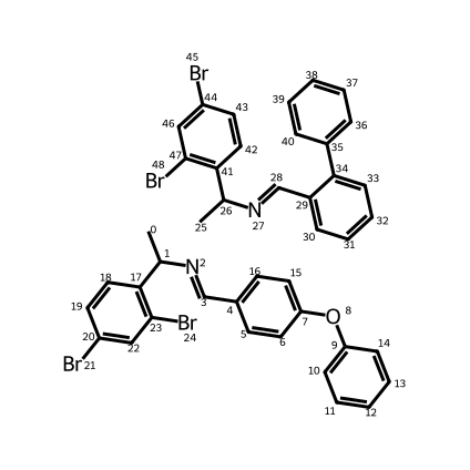 CC(N=Cc1ccc(Oc2ccccc2)cc1)c1ccc(Br)cc1Br.CC(N=Cc1ccccc1-c1ccccc1)c1ccc(Br)cc1Br